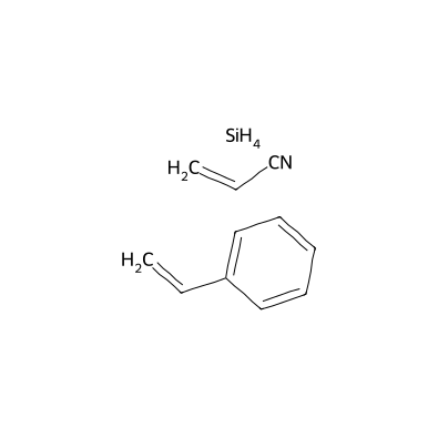 C=CC#N.C=Cc1ccccc1.[SiH4]